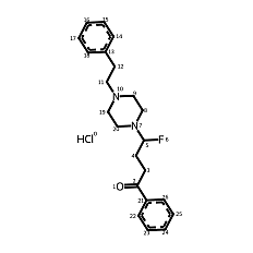 Cl.O=C(CCC(F)N1CCN(CCc2ccccc2)CC1)c1ccccc1